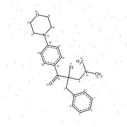 CCC(Cc1ccccc1)(CN(C)C)C(=O)c1ccc(N2CCOCC2)cc1